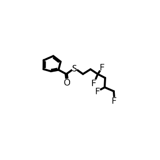 O=C(SCCC(F)(F)CC(F)CF)c1ccccc1